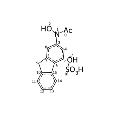 CC(=O)N(O)c1ccc2c(c1)Cc1ccccc1-2.O=S(=O)(O)O